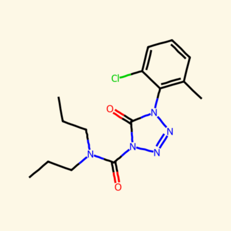 CCCN(CCC)C(=O)n1nnn(-c2c(C)cccc2Cl)c1=O